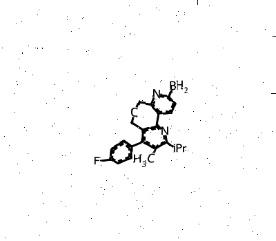 Bc1ccc2c(n1)CCCc1c-2nc(C(C)C)c(C)c1-c1ccc(F)cc1